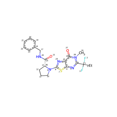 CCC(F)(F)c1nc2sc(N3CCC[C@@H]3C(=O)NCc3ccccc3)nc2c(=O)n1C